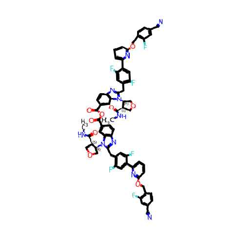 CNC(=O)[C@@H]1COC[C@@H]1n1c(Cc2cc(F)c(-c3cccc(OCc4ccc(C#N)cc4F)n3)cc2F)nc2ccc(C(=O)OC(=O)c3ccc4nc(Cc5cc(F)c(-c6cccc(OCc7ccc(C#N)cc7F)n6)cc5F)n([C@H]5COC[C@H]5C(=O)NC)c4c3)cc21